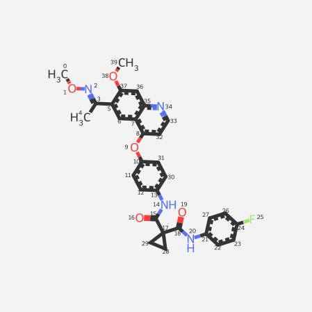 CO/N=C(\C)c1cc2c(Oc3ccc(NC(=O)C4(C(=O)Nc5ccc(F)cc5)CC4)cc3)ccnc2cc1OC